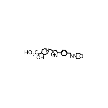 O=C(O)C(O)C1CCN(CC2CC(c3ccc(C=NN4CCOCC4)cc3)=NO2)CC1